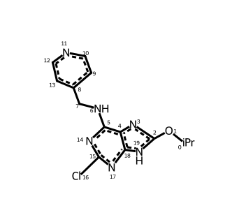 CC(C)Oc1nc2c(NCc3ccncc3)nc(Cl)nc2[nH]1